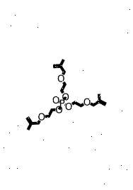 C=C(C)COCCOP(=O)(OCCOCC(=C)C)OCCOCC(=C)C